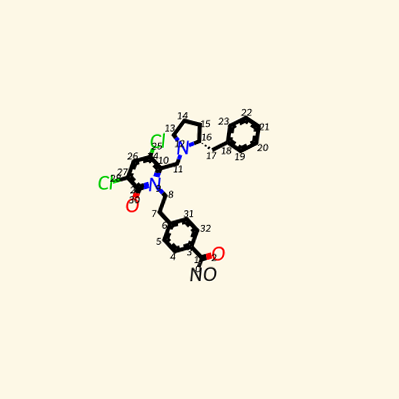 O=NC(=O)c1ccc(CCn2c(CN3CCC[C@@H]3Cc3ccccc3)c(Cl)cc(Cl)c2=O)cc1